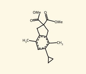 COC(=O)C1(C(=O)OC)Cc2c(C)cc(C3CC3)c(C)c2C1